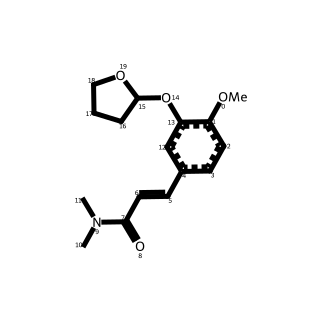 COc1ccc(C=CC(=O)N(C)C)cc1OC1CCCO1